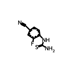 N#Cc1ccc(NC(N)=S)c(F)c1